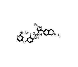 CC(=O)Nc1cc(Oc2ccc(NC(=O)Nc3cn(C(C)C)nc3-c3ccc4c(c3)CCN(C)C4)c(F)c2)ccn1